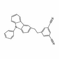 N#Cc1cc(C#N)cc(CCc2ccc3c(c2)c2ccccc2n3-c2ccccc2)c1